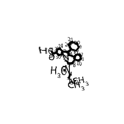 CN(C)CCN(C)C1Cc2ccccc2-c2c(C3CCCCC3)c3ccc(C(=O)O)cc3n2C1